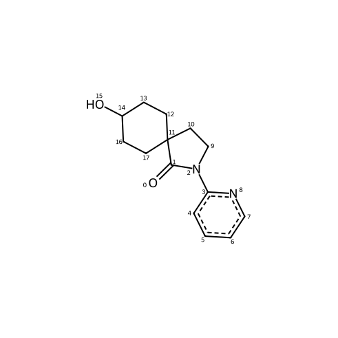 O=C1N(c2ccccn2)CCC12CCC(O)CC2